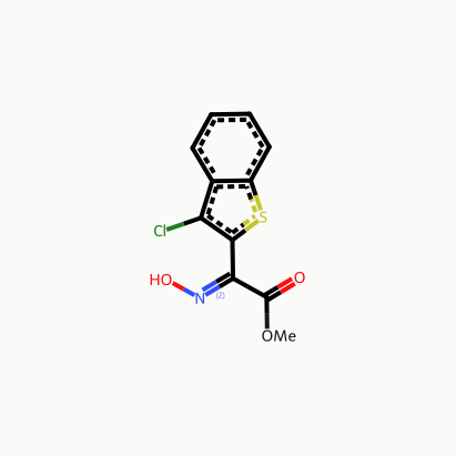 COC(=O)/C(=N/O)c1sc2ccccc2c1Cl